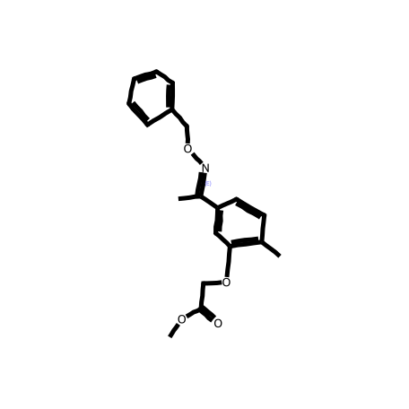 COC(=O)COc1cc(/C(C)=N/OCc2ccccc2)ccc1C